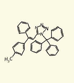 Cc1ccc(/C(=C/c2nnnn2C(c2ccccc2)(c2ccccc2)c2ccccc2)c2ccccc2)cc1